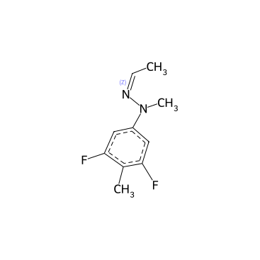 C/C=N\N(C)c1cc(F)c(C)c(F)c1